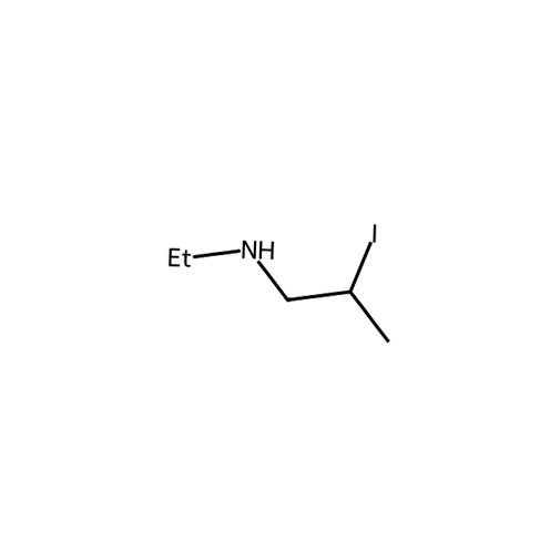 CCNCC(C)I